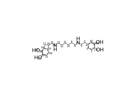 Oc1ccc(CCNCCCCCCNCC2Cc3c2ccc(O)c3O)cc1O